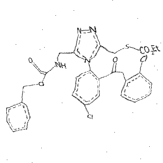 CCOC(=O)SCc1nnc(CNC(=O)OCc2ccccc2)n1-c1ccc(Cl)cc1C(=O)c1ccccc1Cl